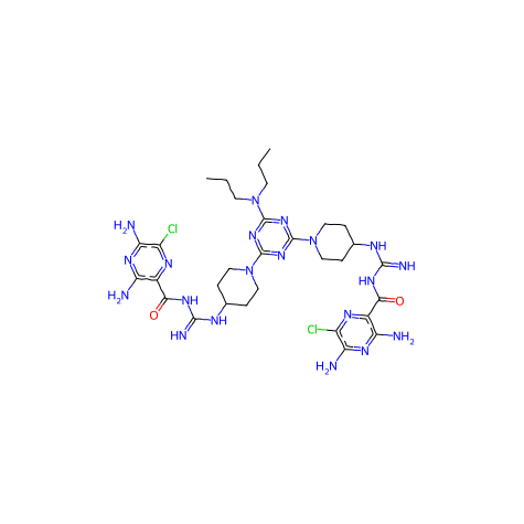 CCCN(CCC)c1nc(N2CCC(NC(=N)NC(=O)c3nc(Cl)c(N)nc3N)CC2)nc(N2CCC(NC(=N)NC(=O)c3nc(Cl)c(N)nc3N)CC2)n1